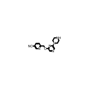 N#Cc1ccc(COc2cncc(N3CCNCC3)n2)nc1